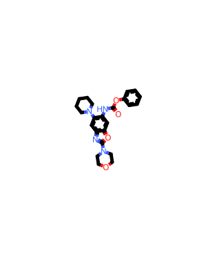 O=C(Nc1cc2oc(N3CCOCC3)nc2cc1N1CCCCC1)Oc1ccccc1